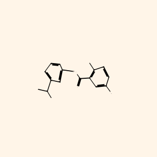 CC(C)c1cccc(NC(=O)c2cc(N)ccc2O)c1